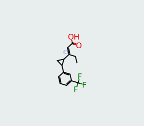 CC/C(=C\C(=O)O)C1CC1c1cccc(C(F)(F)F)c1